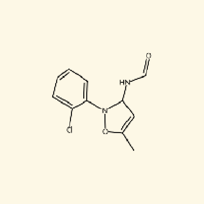 CC1=CC(NC=O)N(c2ccccc2Cl)O1